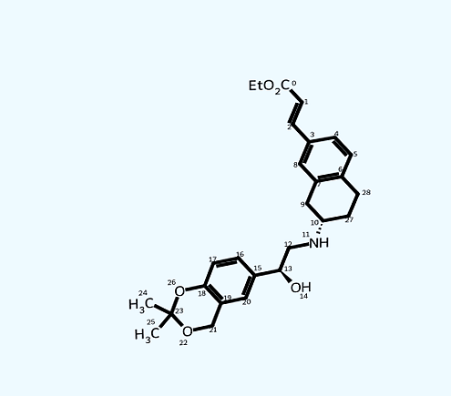 CCOC(=O)C=Cc1ccc2c(c1)C[C@@H](NC[C@@H](O)c1ccc3c(c1)COC(C)(C)O3)CC2